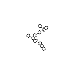 c1ccc(-c2cc3ccc(-c4ccc5cc6ccccc6cc5n4)nc3c3nc(-c4ccc(-c5nc6ccccc6n5-c5ccccc5)cc4)ccc23)cc1